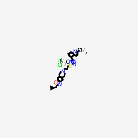 Cc1ccc2c(-c3nnc(SCCCN4CCc5cc6nc(CC7CC7)oc6cc5CC4)n3C)cccc2n1.Cl